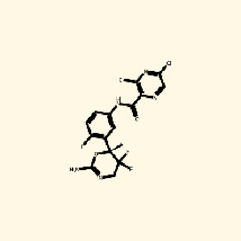 C[C@]1(c2cc(NC(=O)c3ncc(Cl)nc3Cl)ccc2F)OC(N)=NCC1(F)F